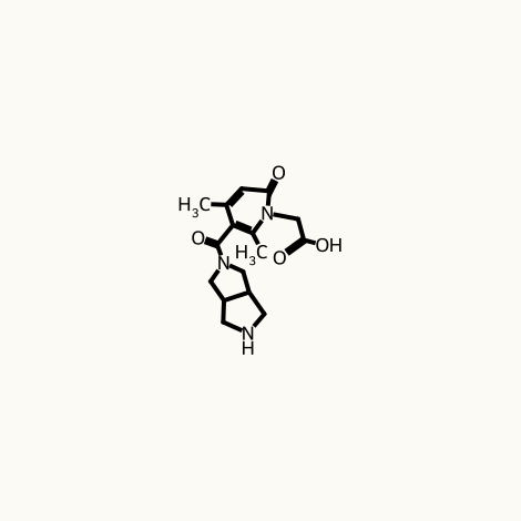 Cc1cc(=O)n(CC(=O)O)c(C)c1C(=O)N1CC2CNCC2C1